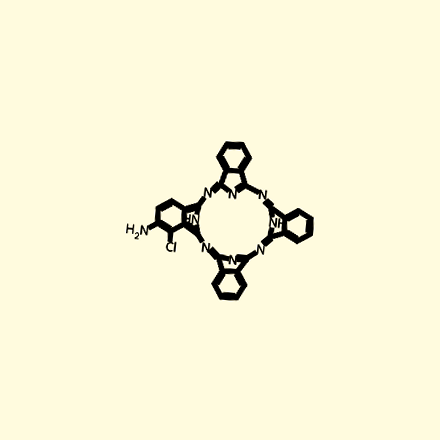 Nc1ccc2c3nc4nc(nc5[nH]c(nc6nc(nc([nH]3)c2c1Cl)-c1ccccc1-6)c1ccccc51)-c1ccccc1-4